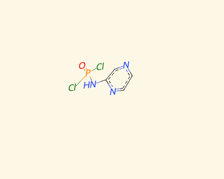 O=P(Cl)(Cl)Nc1cnccn1